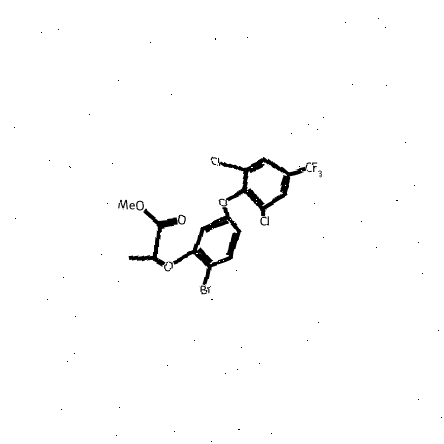 COC(=O)C(C)Oc1cc(Oc2c(Cl)cc(C(F)(F)F)cc2Cl)ccc1Br